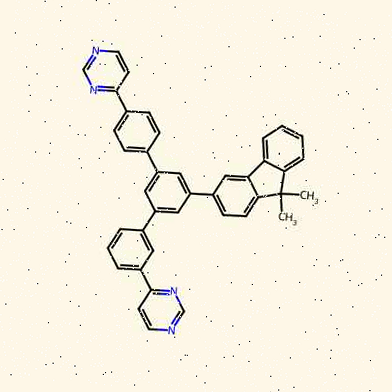 CC1(C)c2ccccc2-c2cc(-c3cc(-c4ccc(-c5ccncn5)cc4)cc(-c4cccc(-c5ccncn5)c4)c3)ccc21